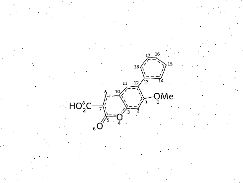 COc1cc2oc(=O)c(C(=O)O)cc2cc1-c1ccccc1